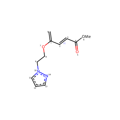 C=C(/C=C/C(=O)OC)OCCn1cccn1